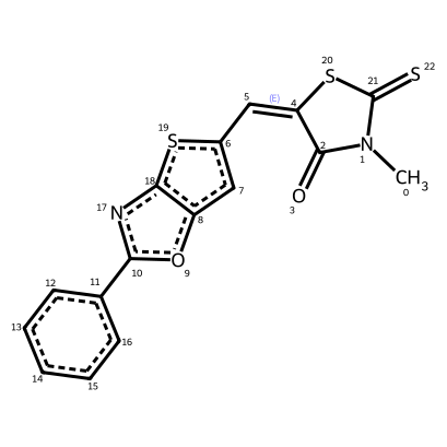 CN1C(=O)/C(=C\c2cc3oc(-c4ccccc4)nc3s2)SC1=S